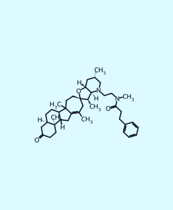 CC1=C2C[C@H]3C(CC[C@@H]4CC(=O)CC[C@@]43C)C2(C)CC[C@@]2(C1)O[C@@H]1C[C@H](C)CN(CCN(C)C(=O)CCc3ccccc3)[C@H]1[C@H]2C